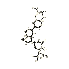 CCN1Cc2cc(-c3ccc4[nH]cc(-c5cc(=O)n6c(n5)N(C(C)C)C(C)(C)C6)c4c3)ccc2CC1C